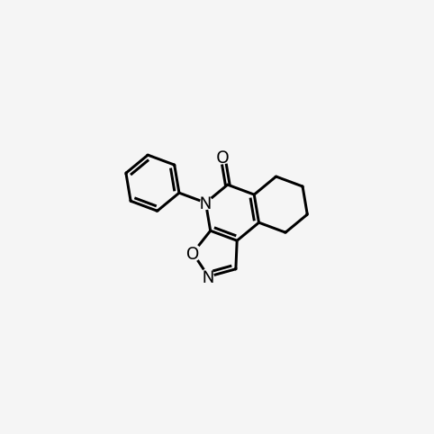 O=c1c2c(c3cnoc3n1-c1ccccc1)CCCC2